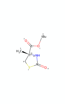 CC(C)(C)OC(=O)[C@@]1(C)CSC(=O)N1